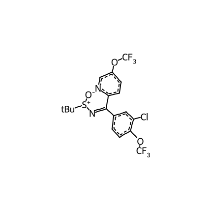 CC(C)(C)[S+]([O-])N=C(c1ccc(OC(F)(F)F)c(Cl)c1)c1ccc(OC(F)(F)F)cn1